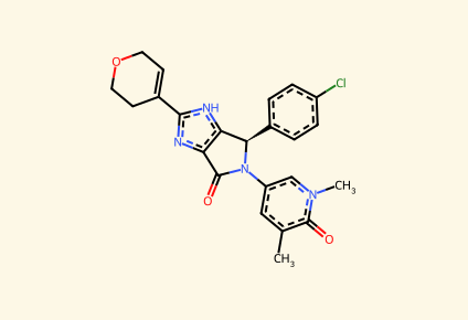 Cc1cc(N2C(=O)c3nc(C4=CCOCC4)[nH]c3[C@H]2c2ccc(Cl)cc2)cn(C)c1=O